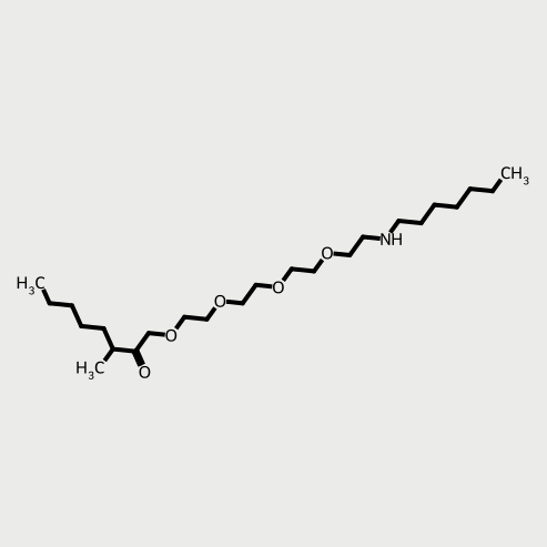 CCCCCCCNCCOCCOCCOCCOCC(=O)C(C)CCCCC